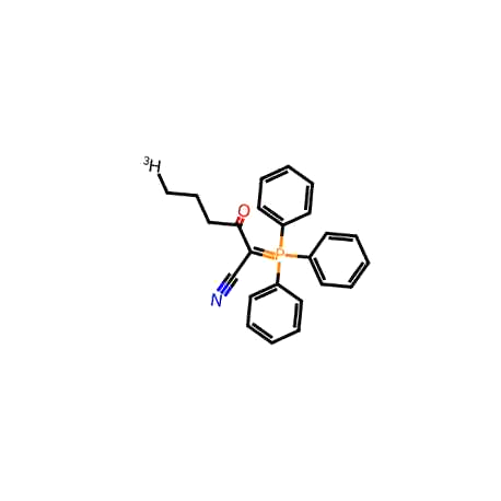 [3H]CCCC(=O)C(C#N)=P(c1ccccc1)(c1ccccc1)c1ccccc1